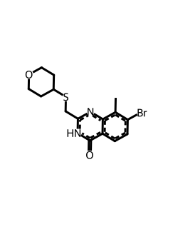 Cc1c(Br)ccc2c(=O)[nH]c(CSC3CCOCC3)nc12